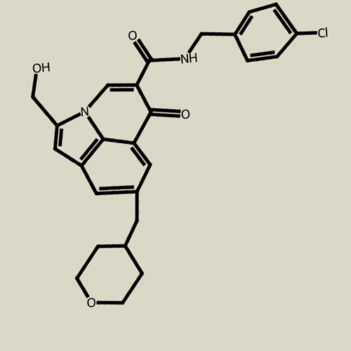 O=C(NCc1ccc(Cl)cc1)c1cn2c(CO)cc3cc(CC4CCOCC4)cc(c1=O)c32